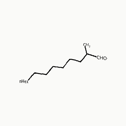 CCCCCCCCCCCCC(C)[C]=O